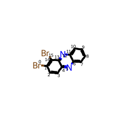 Brc1ccc2nc3ccccc3nc2c1Br